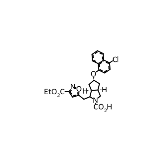 CCOC(=O)c1cc(CC2[C@H]3C[C@@H](Oc4ccc(Cl)c5ccccc45)C[C@H]3CN2C(=O)O)on1